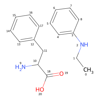 CCNc1ccccc1.NC(Cc1ccccc1)C(=O)O